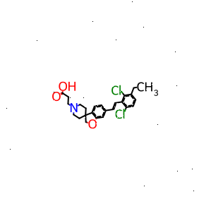 CCc1ccc(Cl)c(/C=C/c2ccc3c(c2)OCC32CCN(CCC(=O)O)CC2)c1Cl